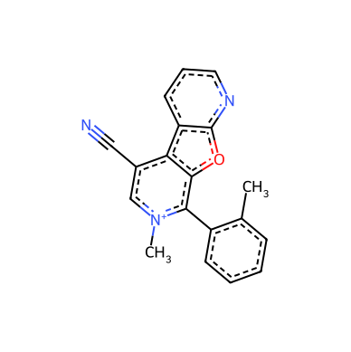 Cc1ccccc1-c1c2oc3ncccc3c2c(C#N)c[n+]1C